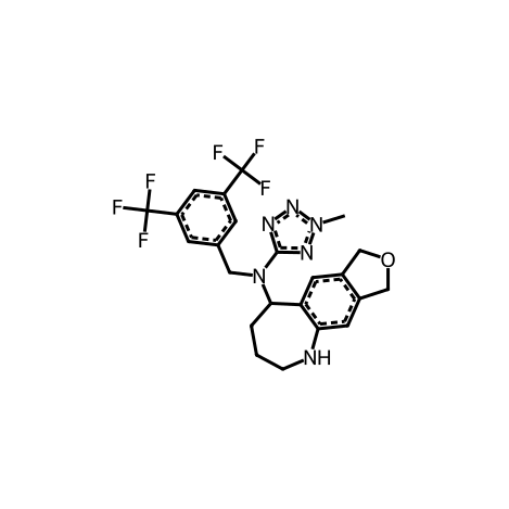 Cn1nnc(N(Cc2cc(C(F)(F)F)cc(C(F)(F)F)c2)C2CCCNc3cc4c(cc32)COC4)n1